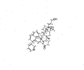 C[C@]12CC[C@H]3[C@@H](CCC4=CC(=O)CC[C@@]43CC3C=Cc4c(-c5cccnc5)ccc5cccc3c45)[C@@H]1CC[C@]2(O)C=CCO